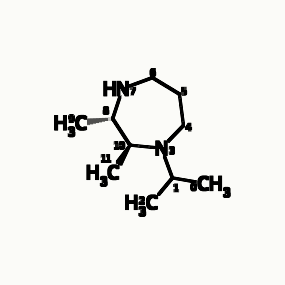 CC(C)N1CCCN[C@@H](C)[C@@H]1C